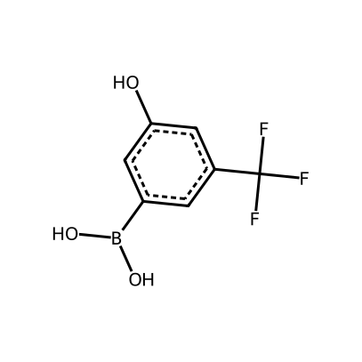 OB(O)c1cc(O)cc(C(F)(F)F)c1